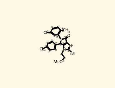 COCCn1c(Br)nc2c1C(c1ccc(Cl)cc1)N(c1cc(Cl)ccc1C)C2=O